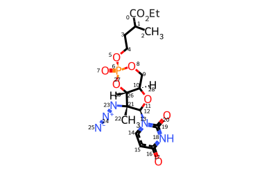 CCOC(=O)C(C)CCO[P@@]1(=O)OC[C@H]2O[C@@H](n3ccc(=O)[nH]c3=O)[C@](C)(N=[N+]=[N-])[C@@H]2O1